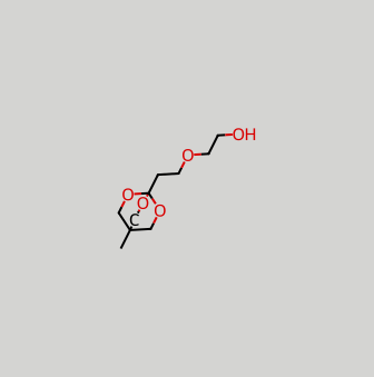 CC12COC(CCOCCO)(OC1)OC2